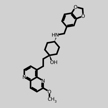 COc1ccc2nccc(CC[C@]3(O)CC[C@H](NCc4ccc5c(c4)OCO5)CC3)c2n1